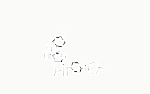 Cc1ccc(S(=O)(=O)N[C@@H](CC(C)C)C(=O)Nc2ccc(N3CCC(C)CC3)cc2)cc1